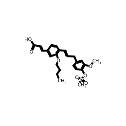 CCCCOc1cc(C=CC(=O)O)ccc1C=CCc1ccc(OS(C)(=O)=O)c(OC)c1